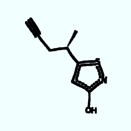 C#CC[C@H](C)c1cc(O)ns1